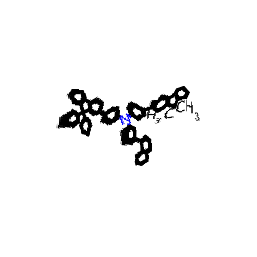 CC1(C)c2ccccc2-c2ccc(-c3ccc(N(c4ccc(-c5ccc6c(c5)C(c5ccccc5)(c5ccccc5)c5ccccc5-6)cc4)c4cccc(-c5cccc6ccccc56)c4)cc3)cc21